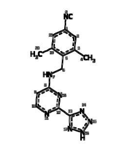 [C-]#[N+]c1cc(C)c(CNc2ccnc(-c3nn[nH]n3)n2)c(C)c1